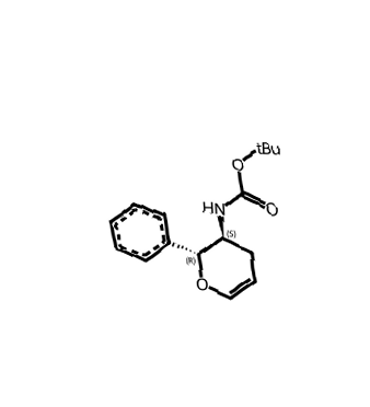 CC(C)(C)OC(=O)N[C@H]1CC=CO[C@@H]1c1ccccc1